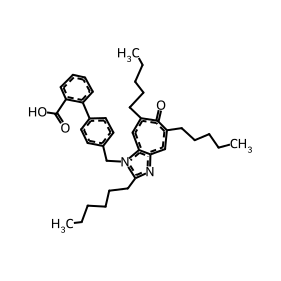 CCCCCCc1nc2cc(CCCCC)c(=O)c(CCCCC)cc2n1Cc1ccc(-c2ccccc2C(=O)O)cc1